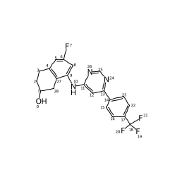 OC1CCc2cc(F)cc(Nc3cc(-c4ccc(C(F)(F)F)cc4)ncn3)c2C1